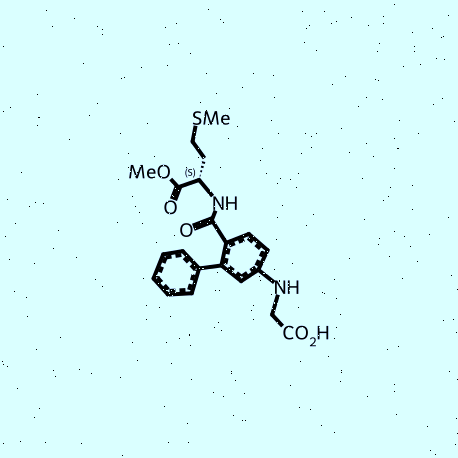 COC(=O)[C@H](CCSC)NC(=O)c1ccc(NCC(=O)O)cc1-c1ccccc1